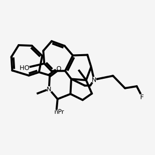 CCCC(C1CCC2(C)C3CC4=C(C=C(O)CC=C4)C12CCN3CCCF)N(C)C(=O)C1=CC=CCC=C1